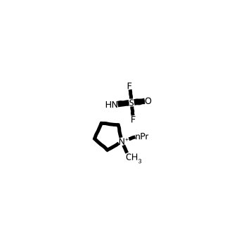 CCC[N+]1(C)CCCC1.N=S(=O)(F)F